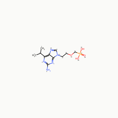 CC(C)c1nc(N)nc2c1ncn2CCOCP(=O)(O)O